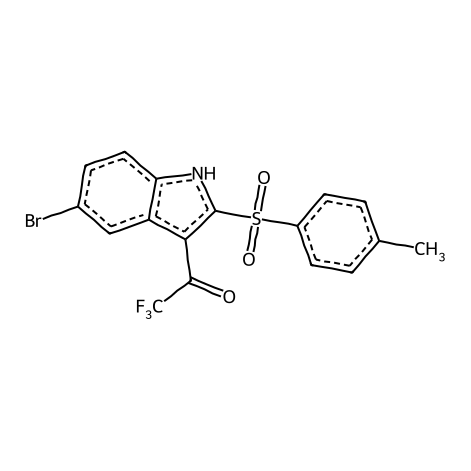 Cc1ccc(S(=O)(=O)c2[nH]c3ccc(Br)cc3c2C(=O)C(F)(F)F)cc1